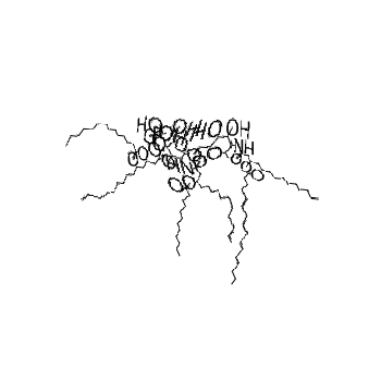 CCCCCCCCCCCCCCCC(=O)O[C@H](CCCCCCCCCCC)CC(=O)NC1C(C)OC(COC2OC(CO)C(OP(=O)(O)O)C(OC(=O)C[C@@H](CCCCCCCCCCC)OC(=O)CCCCCCCCCCCCC)C2NC(=O)C[C@@H](CCCCCCCCCCC)OC(=O)CCCCCCCCCCC)C(O)C1O